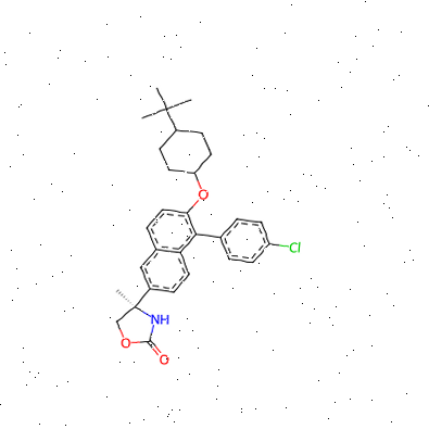 CC(C)(C)C1CCC(Oc2ccc3cc([C@]4(C)COC(=O)N4)ccc3c2-c2ccc(Cl)cc2)CC1